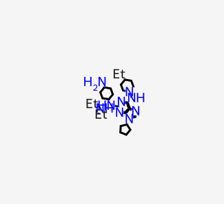 CCC1CCN(Nc2nc(NC3CCC(N)CC3)nc3c2ncn3C2CCCC2)CC1.CCNCC